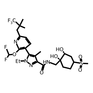 CCn1nc(C(=O)NC[C@@]2(O)CCC(S(C)(=O)=O)C[C@@H]2O)c(C)c1-c1ccc(CC(C)(C)C(F)(F)F)nc1OC(F)F